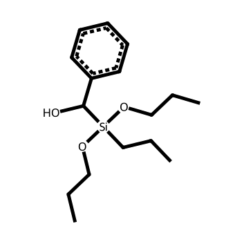 CCCO[Si](CCC)(OCCC)C(O)c1ccccc1